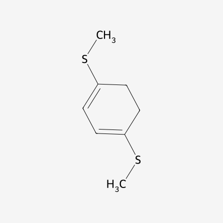 CSC1=CC=C(SC)CC1